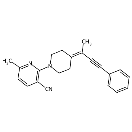 CC(C#Cc1ccccc1)=C1CCN(c2nc(C)ccc2C#N)CC1